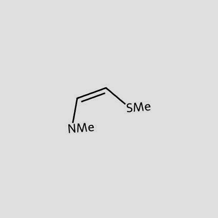 CN/C=C\SC